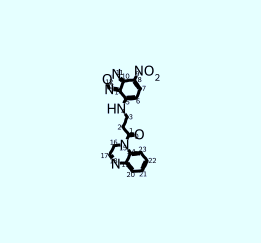 O=C(CCNc1ccc([N+](=O)[O-])c2nonc12)N1CC=Nc2ccccc21